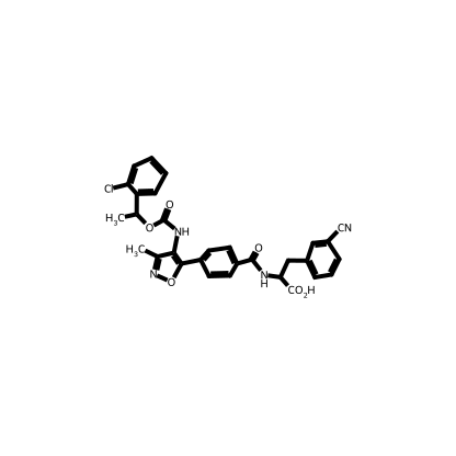 Cc1noc(-c2ccc(C(=O)NC(Cc3cccc(C#N)c3)C(=O)O)cc2)c1NC(=O)OC(C)c1ccccc1Cl